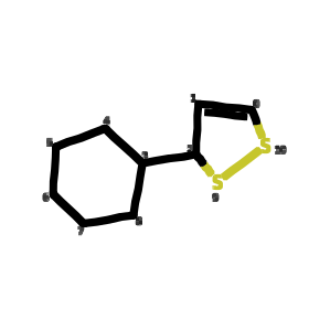 C1=CC(C2CCCCC2)SS1